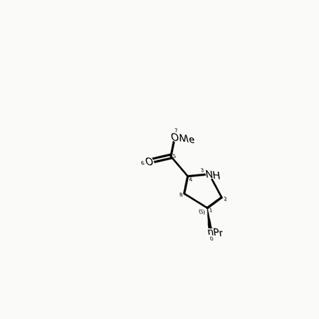 CCC[C@@H]1CNC(C(=O)OC)C1